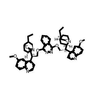 CCC1C[N@@]2CCC1C[C@@H]2[C@@H](COc1nnc(OC[C@@H](c2ccnc3ccc(OC)cc23)[C@H]2C[C@H]3CCN2CC3CC)c2ccccc12)c1ccnc2ccc(OC)cc12